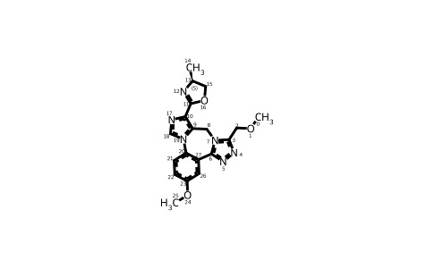 COCc1nnc2n1Cc1c(C3=N[C@@H](C)CO3)ncn1-c1ccc(OC)cc1-2